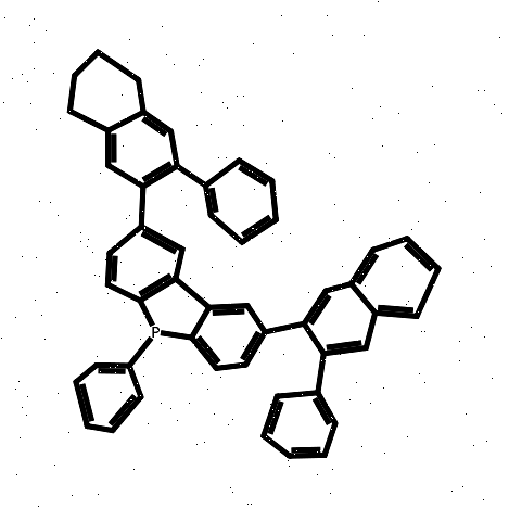 c1ccc(-c2cc3c(cc2-c2ccc4c(c2)c2cc(-c5cc6ccccc6cc5-c5ccccc5)ccc2p4-c2ccccc2)CCCC3)cc1